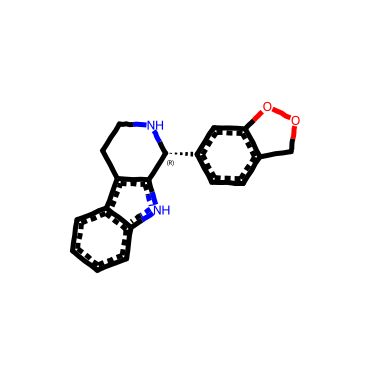 c1ccc2c3c([nH]c2c1)[C@@H](c1ccc2c(c1)OOC2)NCC3